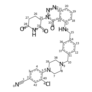 N#Cc1ccc(N2CCN(Cc3ccc(CNc4cccc5nnn(C6CCC(=O)NC6=O)c(=O)c45)cc3)CC2)c(Cl)c1